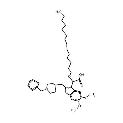 CCCCCCCCCCCCCCOC(C(=O)O)C1=C(CC2CCN(Cc3ccccc3)CC2)Cc2cc(OC)c(OC)cc21